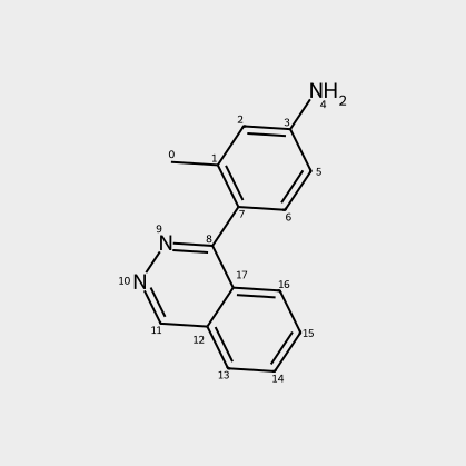 Cc1cc(N)ccc1-c1nncc2ccccc12